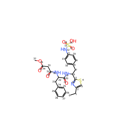 CCc1csc(C(Cc2ccc(NS(=O)(=O)O)cc2)NC(=O)C(Cc2ccccc2)NC(=O)CC(=O)OC)n1